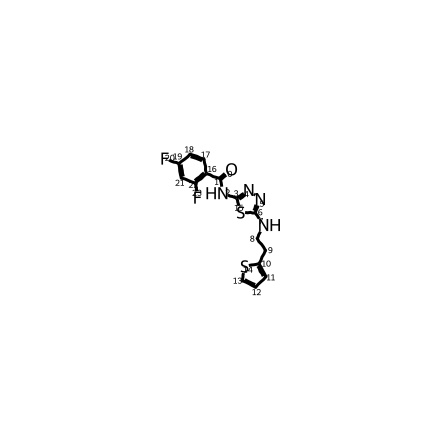 O=C(Nc1nnc(NCCc2cccs2)s1)c1ccc(F)cc1F